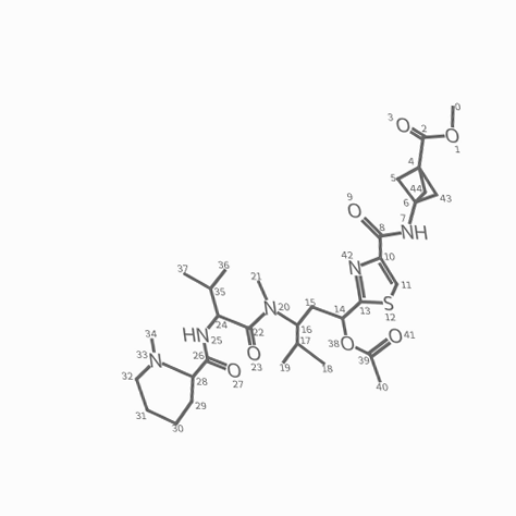 COC(=O)C12CC(NC(=O)c3csc(C(CC(C(C)C)N(C)C(=O)C(NC(=O)C4CCCCN4C)C(C)C)OC(C)=O)n3)(C1)C2